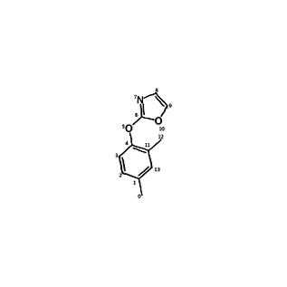 Cc1ccc(Oc2nc[c]o2)c(C)c1